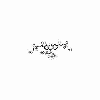 C=C/C(=C(\C)S(=O)(=O)O)C1c2ccc(NCCS(=O)(=O)CCCl)cc2Oc2cc(N(C)CCS(=O)(=O)CCO)ccc21